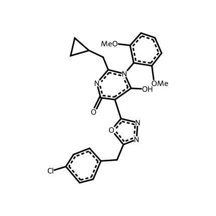 COc1cccc(OC)c1-n1c(CC2CC2)nc(=O)c(-c2nnc(Cc3ccc(Cl)cc3)o2)c1O